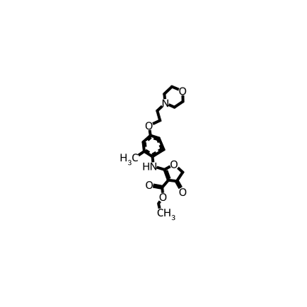 CCOC(=O)C1=C(Nc2ccc(OCCN3CCOCC3)cc2C)OCC1=O